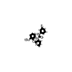 CC(C)(C)c1ccccc1Oc1ncccc1NC(=O)Nc1cccc(F)c1